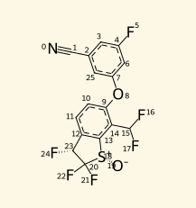 N#Cc1cc(F)cc(Oc2ccc3c(c2C(F)F)[S@+]([O-])C(F)(F)[C@@H]3F)c1